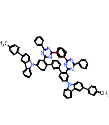 Cc1ccc(-c2ccc3c(c2)c2ccccc2n3-c2ccc(-c3cccc(-c4ccc(-n5c6ccccc6c6cc(-c7ccc(C)cc7)ccc65)cc4-c4nc(-c5ccccc5)nc(-c5ccccc5)n4)c3)c(-c3nc(-c4ccccc4)nc(-c4ccccc4)n3)c2)cc1